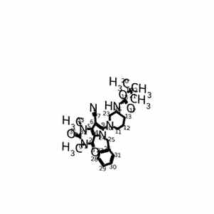 Cn1c(=O)c2c(c(C#N)c(N3CCCC(NC(=O)OC(C)(C)C)C3)n2Cc2ccccc2)n(C)c1=O